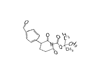 CC(C)(C)OC(=O)N1C(=O)CCC(c2ccc(C=O)cc2)C1=O